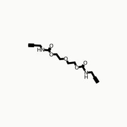 C#CCNC(=O)OCCOCCOC(=O)NCC#C